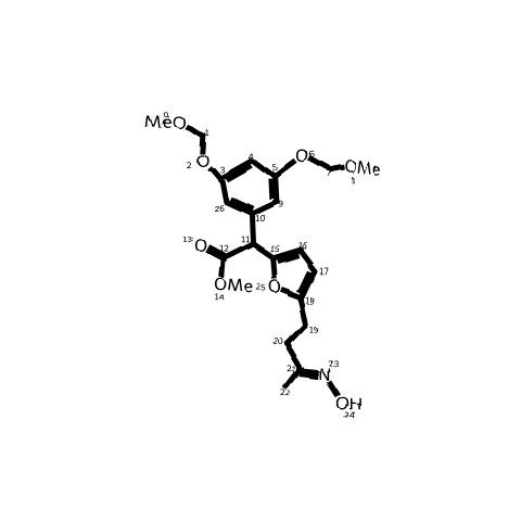 COCOc1cc(OCOC)cc(C(C(=O)OC)c2ccc(CCC(C)=NO)o2)c1